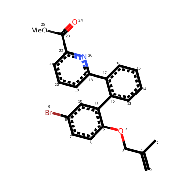 C=C(C)COc1ccc(Br)cc1-c1ccccc1-c1cccc(C(=O)OC)n1